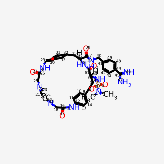 CN(C)S(=O)(=O)N[C@@H]1Cc2ccc(cc2)NC(=O)CN2CCN(CC2)CC(=O)Nc2ccc(cc2)C[C@@H](C(=O)NCc2ccc(C(=N)N)cc2)NC1=O